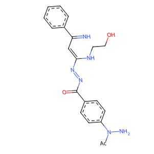 CC(=O)N(N)c1ccc(C(=O)N=N/C(=C/C(=N)c2ccccc2)NCCO)cc1